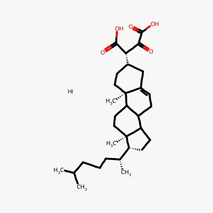 CC(C)CCC[C@@H](C)[C@H]1CCC2C3CC=C4CC([C@H](C(=O)O)C(=O)C(=O)O)CC[C@]4(C)C3CC[C@@]21C.I